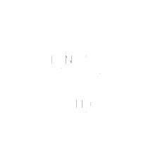 C=C[C@H]1CC1N